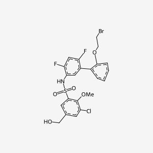 COc1c(Cl)cc(CO)cc1S(=O)(=O)Nc1cc(-c2ccccc2OCCBr)c(F)cc1F